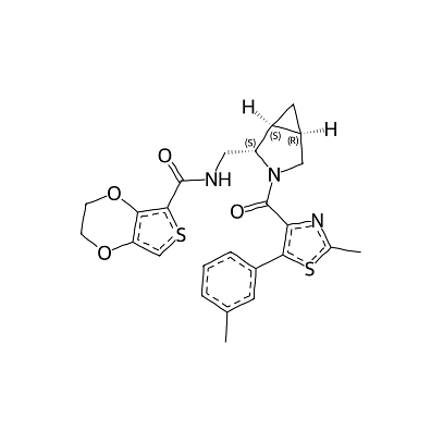 Cc1cccc(-c2sc(C)nc2C(=O)N2C[C@@H]3C[C@@H]3[C@H]2CNC(=O)c2scc3c2OCCO3)c1